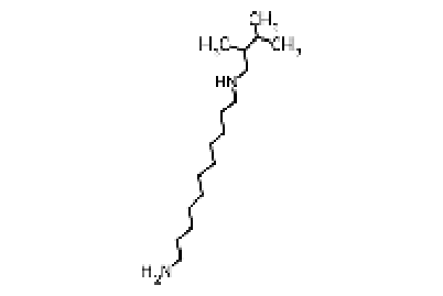 CC(C)C(C)CNCCCCCCCCCCCN